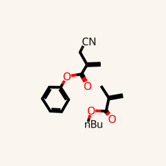 C=C(C)C(=O)OCCCC.C=C(CC#N)C(=O)Oc1ccccc1